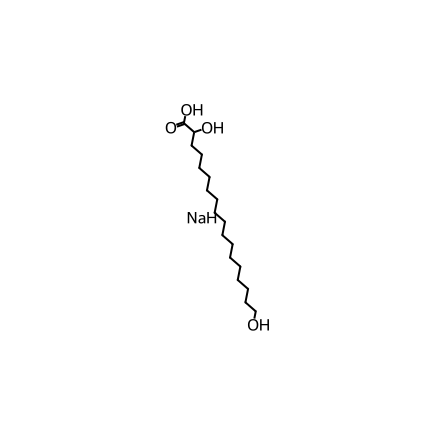 O=C(O)C(O)CCCCCCCCCCCCCCCCO.[NaH]